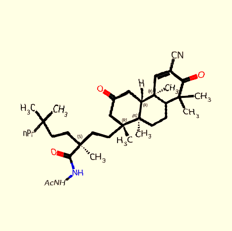 CCCC(C)(C)CC[C@@](C)(CC[C@]1(C)CC(=O)C[C@@H]2[C@@]3(C)C=C(C#N)C(=O)C(C)(C)C3CC[C@]21C)C(=O)NNC(C)=O